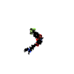 C#CCN(C)CCCCCCOc1ccc(N(C)S(=O)(=O)c2ccc(C(F)(F)F)cc2)cc1